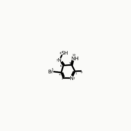 CC1=NC=C(Br)/C(=N/S)C1=N